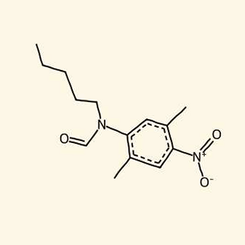 CCCCCN(C=O)c1cc(C)c([N+](=O)[O-])cc1C